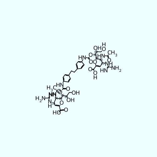 CC(=O)N[C@H]1[C@H]([C@H](OC(=O)Nc2ccc(CCc3ccc(NC(=O)O[C@@H]([C@@H]4OC(C(=O)O)=C[C@H](NC(=N)N)[C@H]4NC(C)=O)[C@H](O)CO)cc3)cc2)[C@H](O)CO)OC(C(=O)O)=C[C@@H]1NC(=N)N